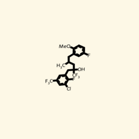 COc1ccc(F)cc1CC(C)CC(O)(Cc1cc(C(F)(F)F)cc(Cl)c1F)C(F)(F)F